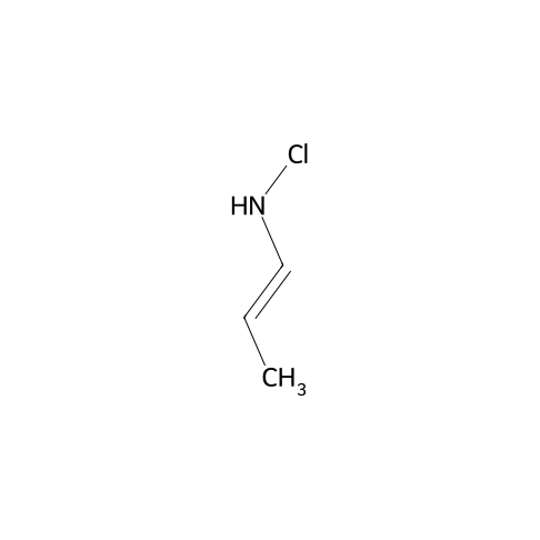 CC=CNCl